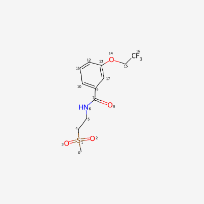 CS(=O)(=O)CCNC(=O)c1cccc(OCC(F)(F)F)c1